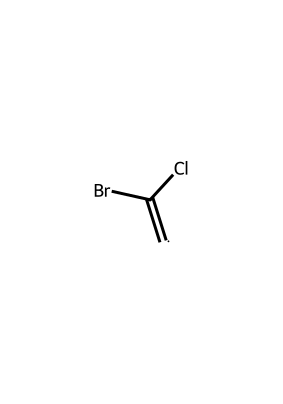 [CH]=C(Cl)Br